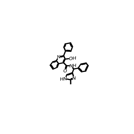 Cc1nc(C(NC(=O)c2c(O)c(-c3ccccc3)nc3ccccc23)c2ccccc2)c[nH]1